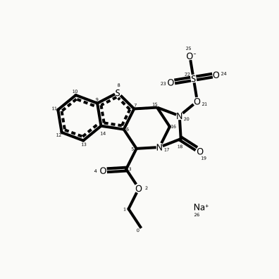 CCOC(=O)C1c2c(sc3ccccc23)C2CN1C(=O)N2OS(=O)(=O)[O-].[Na+]